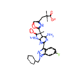 CC(C)(Cc1coc(C2(C)C(=O)Nc3nc(-c4nn(CC5CCCCC5)c5cc(F)ccc45)nc(N)c32)n1)C(=O)O